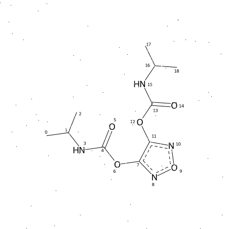 CC(C)NC(=O)Oc1nonc1OC(=O)NC(C)C